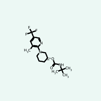 Cc1cc(C(F)(F)F)cnc1N1CCC[C@@H](OC(=O)NC(C)(C)C)C1